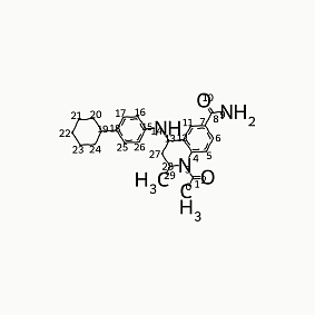 CC(=O)N1c2ccc(C(N)=O)cc2C(Nc2ccc(C3CCCCC3)cc2)CC1C